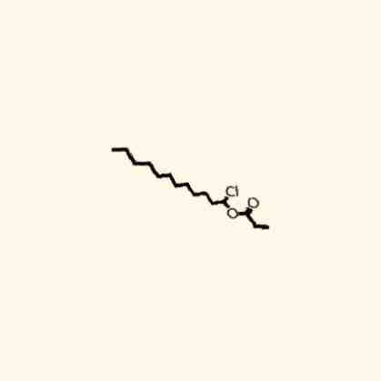 CCCCCCCCCCCC(Cl)OC(=O)CC